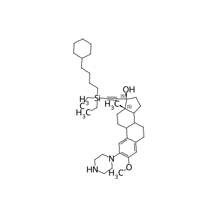 CC[Si](C#C[C@]1(O)CCC2C3CCc4cc(OC)c(N5CCNCC5)cc4C3CC[C@@]21C)(CC)CCCCC1CCCCC1